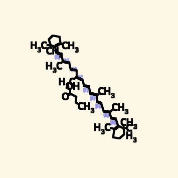 CC1=C(/C=C/C(C)=C/C=C/C(C)=C/C=C/C=C(C)/C=C/C=C(C)/C=C/C2=C(C)CCCC2(C)C)C(C)(C)CCC1.CCCC(=O)O